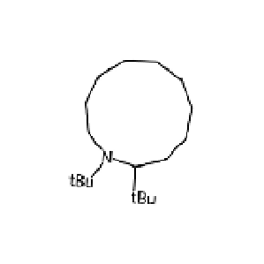 CC(C)(C)C1CCCCCCCCCN1C(C)(C)C